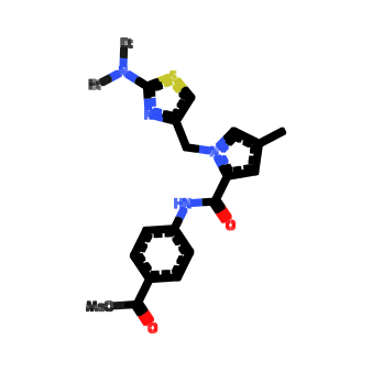 CCN(CC)c1nc(Cn2cc(C)cc2C(=O)Nc2ccc(C(=O)OC)cc2)cs1